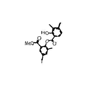 COC(=O)c1cc(I)cc(C)c1OC(=O)c1ccc(C)c(C)c1O